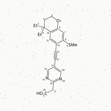 CCC1(CC)CCOc2cc(SC)c(C#Cc3cnc(CC(=O)O)nc3)cc21